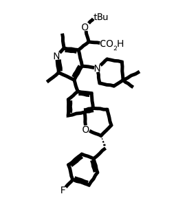 Cc1nc(C)c(C(OC(C)(C)C)C(=O)O)c(N2CCC(C)(C)CC2)c1-c1ccc2c(c1)CC[C@H](Cc1ccc(F)cc1)O2